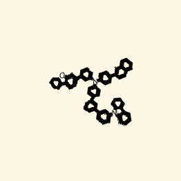 c1cc(-c2ccc(N(c3ccc(-c4ccc5ccccc5c4)cc3)c3cccc(-c4ccc5c(c4)oc4ccccc45)c3)cc2)cc(-c2cccc(-n3c4ccccc4c4ccccc43)c2)c1